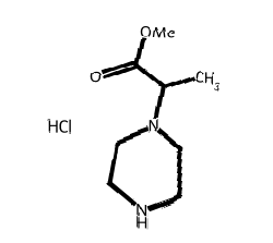 COC(=O)C(C)N1CCNCC1.Cl